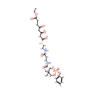 CCOC(=O)CCC(=O)CC(=O)CC(=O)SCCNC(=O)CCNC(=O)[C@@H]1OP(=O)(Oc2ccccc2)OCC1(C)C